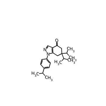 CC(C)c1ccc(-n2ncc3c2CC(C(C)C)(C(C)C)CC3=O)cc1